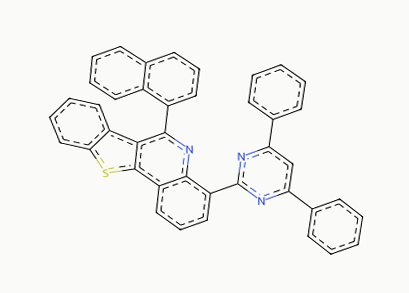 c1ccc(-c2cc(-c3ccccc3)nc(-c3cccc4c3nc(-c3cccc5ccccc35)c3c5ccccc5sc43)n2)cc1